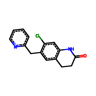 O=C1CCc2cc(Cc3ccccn3)c(Cl)cc2N1